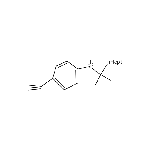 C#Cc1ccc([SiH2]C(C)(C)CCCCCCC)cc1